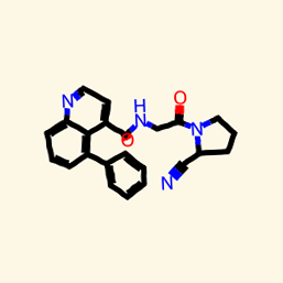 N#CC1CCCN1C(=O)CNC(=O)c1ccnc2cccc(-c3ccccc3)c12